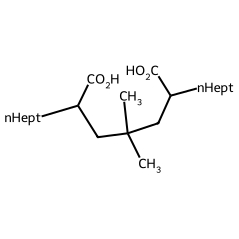 CCCCCCCC(CC(C)(C)CC(CCCCCCC)C(=O)O)C(=O)O